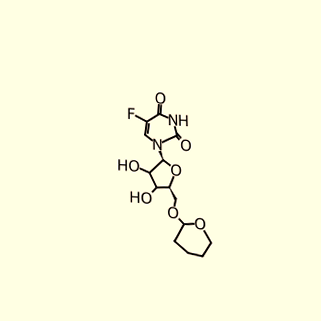 O=c1[nH]c(=O)n([C@H]2O[C@@H](COC3CCCCO3)C(O)C2O)cc1F